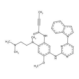 CC#CC(=O)Nc1cc(Nc2nccc(-n3ccc4ccccc43)n2)c(OC)cc1N(C)CCN(C)C